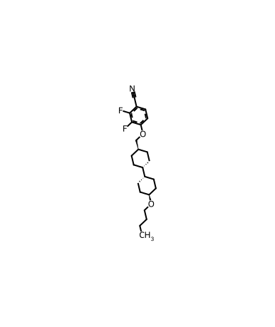 CCCCO[C@H]1CC[C@H]([C@H]2CC[C@H](COc3ccc(C#N)c(F)c3F)CC2)CC1